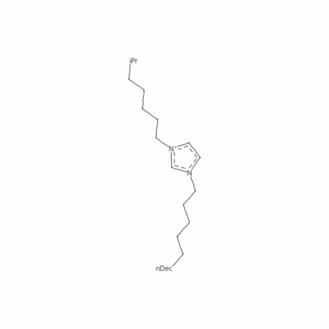 CCCCCCCCCCCCCCCn1cc[n+](CCCCCC(C)C)c1